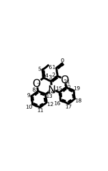 C=CC1=C2/C(=C\C)Oc3ccccc3N2c2ccccc2O1